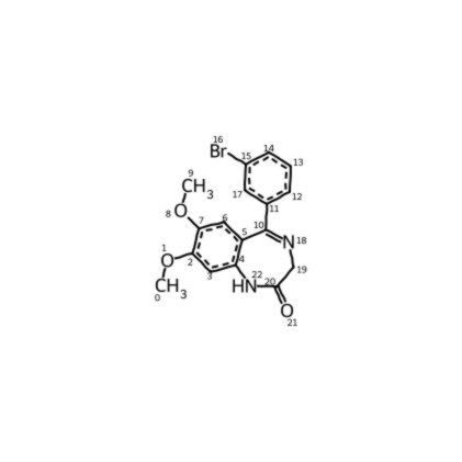 COc1cc2c(cc1OC)C(c1cccc(Br)c1)=NCC(=O)N2